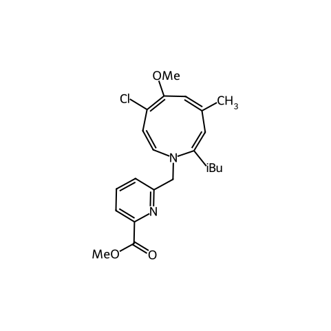 CCC(C)c1cc(C)cc(OC)c(Cl)ccn1Cc1cccc(C(=O)OC)n1